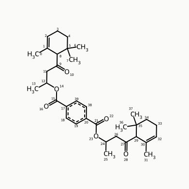 CC1=CCCC(C)(C)C1C(=O)CC(C)OC(=O)c1ccc(C(=O)OC(C)CC(=O)C2C(C)=CCCC2(C)C)cc1